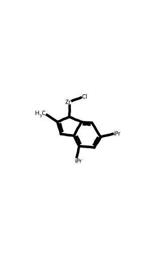 CC1=Cc2c(C(C)C)cc(C(C)C)cc2[CH]1[Zr][Cl]